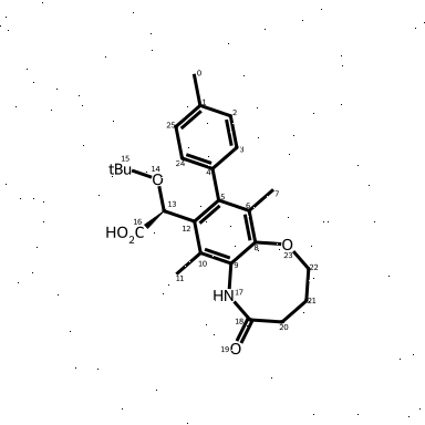 Cc1ccc(-c2c(C)c3c(c(C)c2[C@H](OC(C)(C)C)C(=O)O)NC(=O)CCCO3)cc1